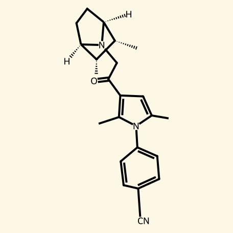 Cc1cc(C(=O)CN2[C@@H]3CC[C@H]2[C@H](C)[C@@H]3C)c(C)n1-c1ccc(C#N)cc1